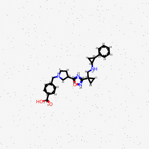 O=C(O)c1ccc(CN2CCC(c3nc(C4(CNC5CC5c5ccccc5)CC4)no3)C2)cc1